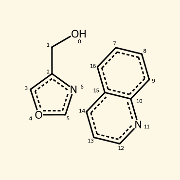 OCc1cocn1.c1ccc2ncccc2c1